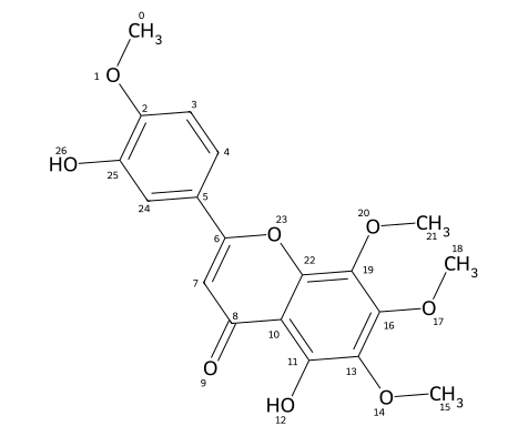 COc1ccc(-c2cc(=O)c3c(O)c(OC)c(OC)c(OC)c3o2)cc1O